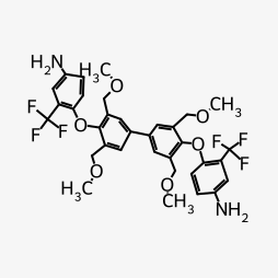 COCc1cc(-c2cc(COC)c(Oc3ccc(N)cc3C(F)(F)F)c(COC)c2)cc(COC)c1Oc1ccc(N)cc1C(F)(F)F